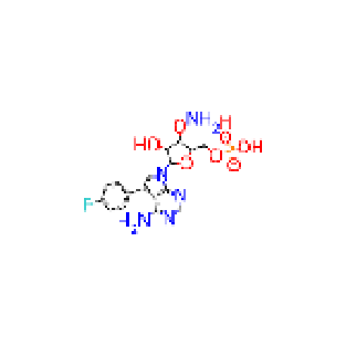 NOC1C(O)[C@H](n2cc(-c3ccc(F)cc3)c3c(N)ncnc32)O[C@@H]1COP(=O)(O)O